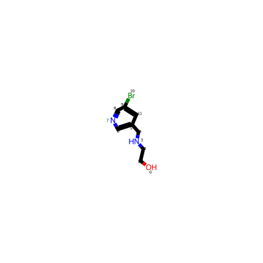 OCCNCc1cncc(Br)c1